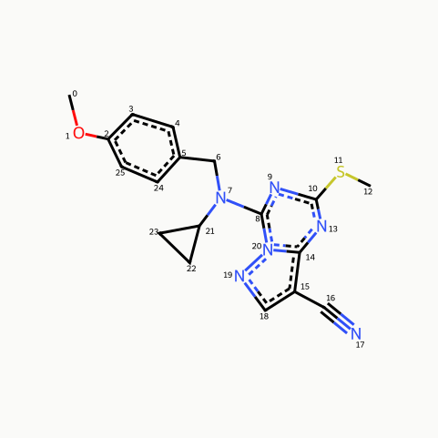 COc1ccc(CN(c2nc(SC)nc3c(C#N)cnn23)C2CC2)cc1